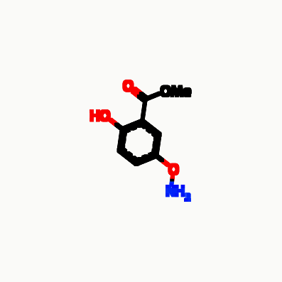 COC(=O)c1cc(ON)ccc1O